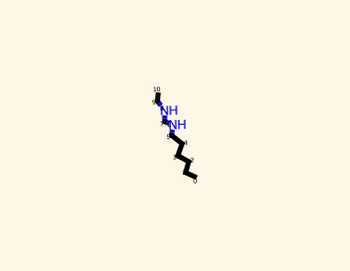 CCCCCCNCNCC